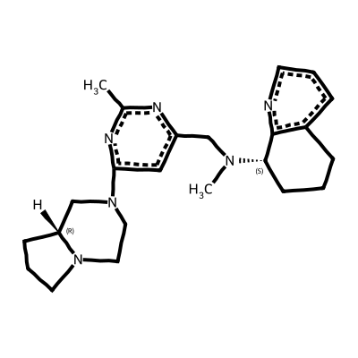 Cc1nc(CN(C)[C@H]2CCCc3cccnc32)cc(N2CCN3CCC[C@@H]3C2)n1